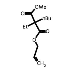 C=CCOC(=O)C(CC)(CCCC)C(=O)OC